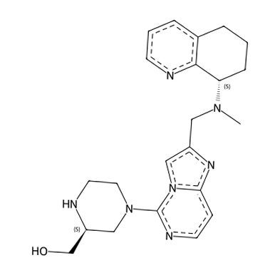 CN(Cc1cn2c(N3CCN[C@H](CO)C3)nccc2n1)[C@H]1CCCc2cccnc21